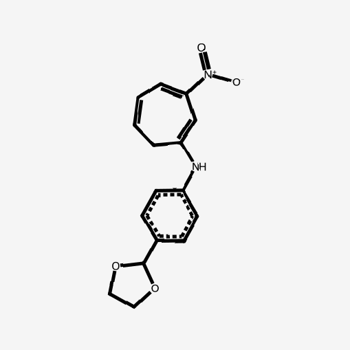 O=[N+]([O-])C1=CC=CCC(Nc2ccc(C3OCCO3)cc2)=C1